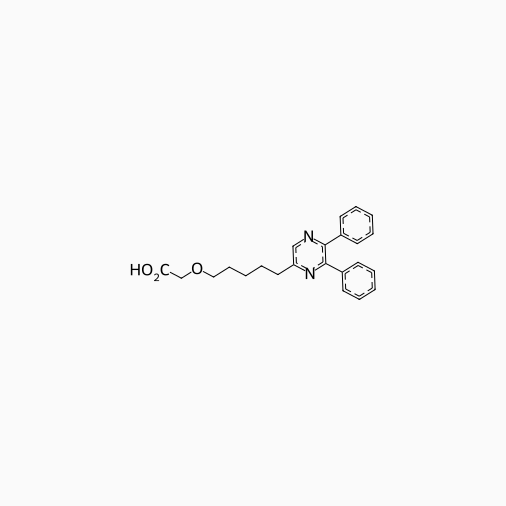 O=C(O)COCCCCCc1cnc(-c2ccccc2)c(-c2ccccc2)n1